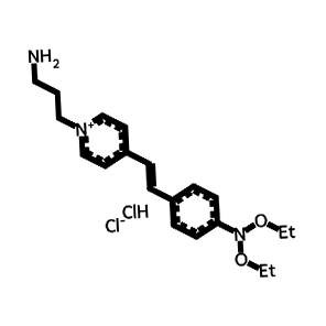 CCON(OCC)c1ccc(C=Cc2cc[n+](CCCN)cc2)cc1.Cl.[Cl-]